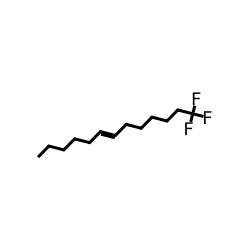 CCCCCC=CCCCCCC(F)(F)F